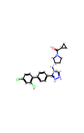 O=C(C1CC1)N1CC[C@H](Cn2cnnc2-c2ccc(-c3ccc(Cl)cc3Cl)cc2)C1